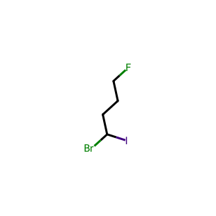 FCCCC(Br)I